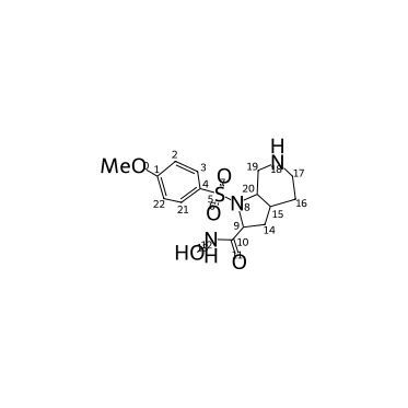 COc1ccc(S(=O)(=O)N2C(C(=O)NO)CC3CCNCC32)cc1